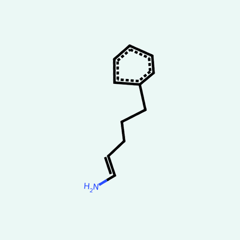 NC=CCCCc1ccccc1